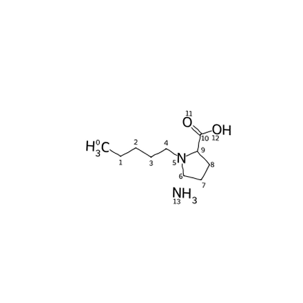 CCCCCN1CCCC1C(=O)O.N